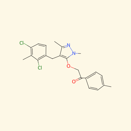 Cc1ccc(C(=O)COc2c(Cc3ccc(Cl)c(C)c3Cl)c(C)nn2C)cc1